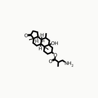 CC(CN)C(=O)OC1CC[C@]2(C)[C@@H]3CC[C@]4(C)C(=O)CC[C@H]4[C@@H]3C(C)CC2(O)C1